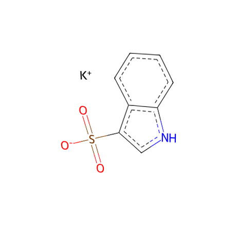 O=S(=O)([O-])c1c[nH]c2ccccc12.[K+]